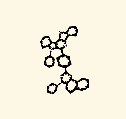 c1ccc(-c2nc(-c3ccc(-c4nc5c6ccccc6sc5c5c6ccccc6n(-c6ccccc6)c45)cc3)nc3c2ccc2ccccc23)cc1